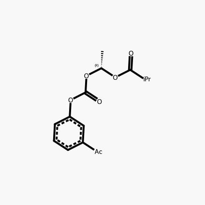 CC(=O)c1cccc(OC(=O)O[C@H](C)OC(=O)C(C)C)c1